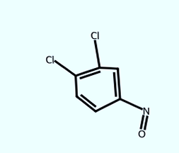 O=Nc1ccc(Cl)c(Cl)c1